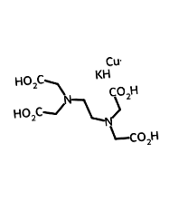 O=C(O)CN(CCN(CC(=O)O)CC(=O)O)CC(=O)O.[Cu].[KH]